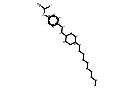 CCCCCCCCCCC1CCC(CCc2ccc(OC(F)F)cc2)CC1